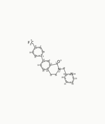 O=C1c2cc(-c3ccc(C(F)(F)F)cc3)ccc2CCN1Cc1ccccn1